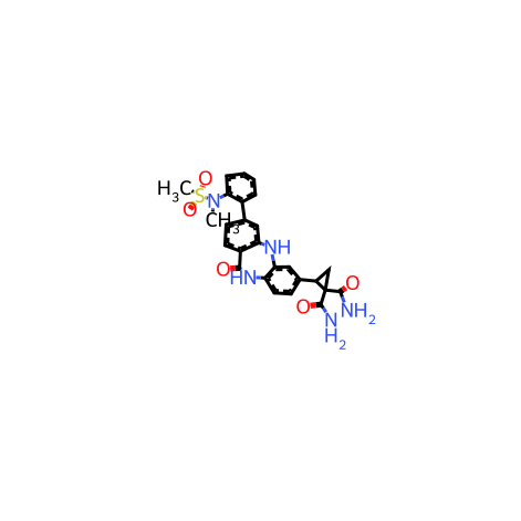 CN(c1ccccc1-c1ccc2c(c1)Nc1cc(C3CC3(C(N)=O)C(N)=O)ccc1NC2=O)S(C)(=O)=O